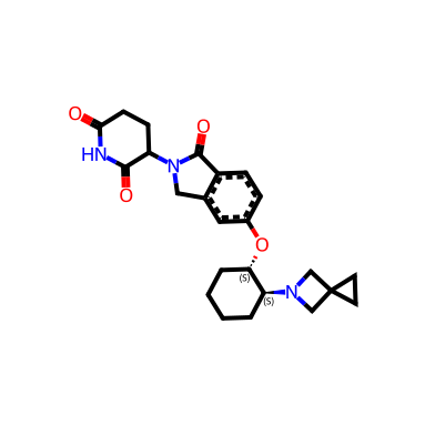 O=C1CCC(N2Cc3cc(O[C@H]4CCCC[C@@H]4N4CC5(CC5)C4)ccc3C2=O)C(=O)N1